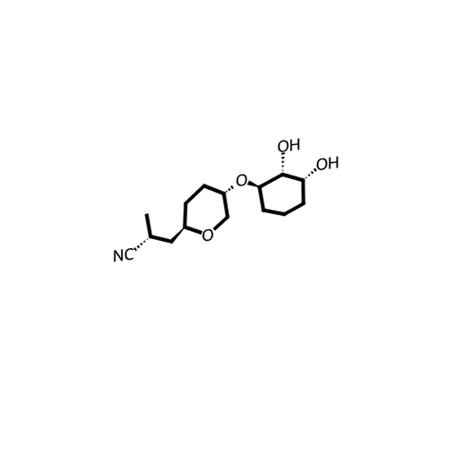 C[C@@H](C#N)C[C@H]1CC[C@H](O[C@@H]2CCC[C@@H](O)[C@H]2O)CO1